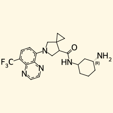 N[C@@H]1CCCC(NC(=O)C2CN(c3ccc(C(F)(F)F)c4nccnc34)CC23CC3)C1